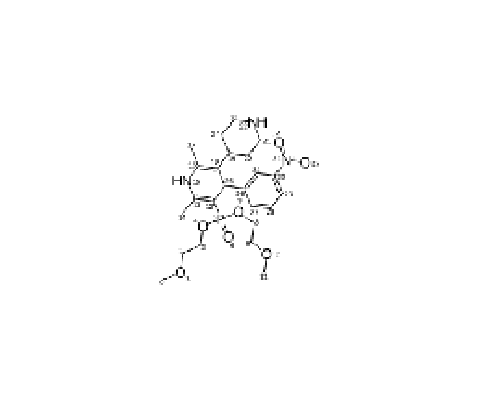 COCCOP(=O)(OCCOC)C1=C(C)NC(C)=C(C2CCNCC2)C1c1cccc([N+](=O)[O-])c1